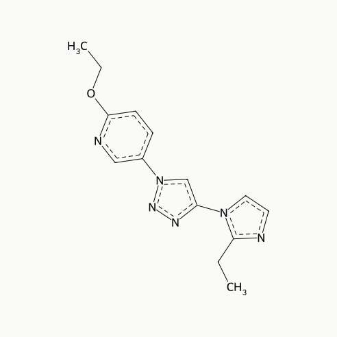 CCOc1ccc(-n2cc(-n3ccnc3CC)nn2)cn1